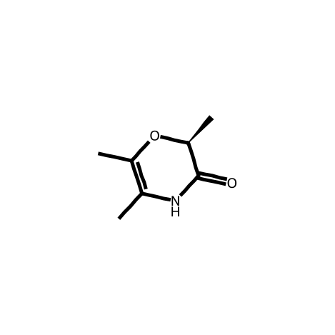 CC1=C(C)O[C@@H](C)C(=O)N1